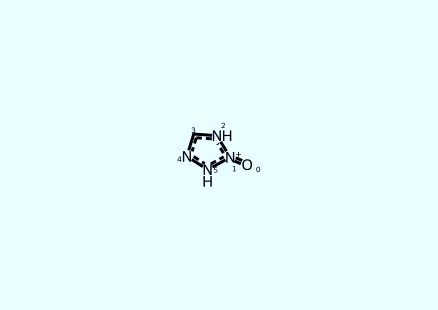 O=[n+]1[nH]cn[nH]1